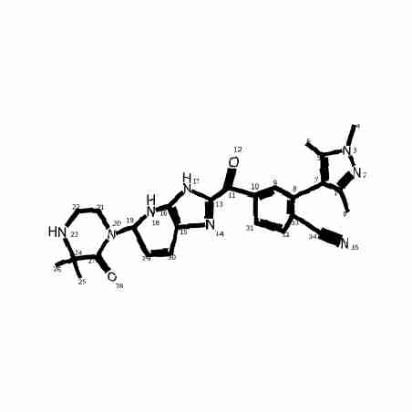 Cc1nn(C)c(C)c1-c1cc(C(=O)c2nc3c([nH]2)NC(N2CCNC(C)(C)C2=O)C=C3)ccc1C#N